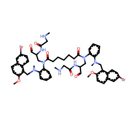 CNCC(=O)NC(C=O)CN(C(=O)CCCCCC(=O)N(CC(C=O)NC(=O)CNC)c1ccccc1N(C)Cc1c(OC)ccc2cc(Br)ccc12)c1ccccc1N(C)Cc1c(OC)ccc2cc(Br)ccc12